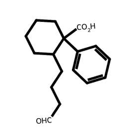 O=CCCCC1CCCCC1(C(=O)O)c1ccccc1